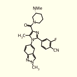 CN[C@@H]1CCCN(C(=O)c2nc(-c3ccc(C#N)c(F)c3)n(-c3ccc4nn(C)cc4c3)c2C)C1